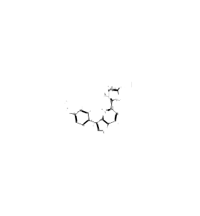 CSc1ccc(-c2coc3ccc(-c4nnc(C)o4)nc23)cc1